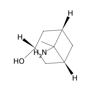 CC1(N)[C@@H]2C[C@@H](O)C[C@H]1C2